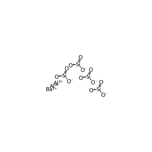 O=[Si]([O-])[O-].O=[Si]([O-])[O-].O=[Si]([O-])[O-].O=[Si]([O-])[O-].[Al+3].[Al+3].[Ba+2]